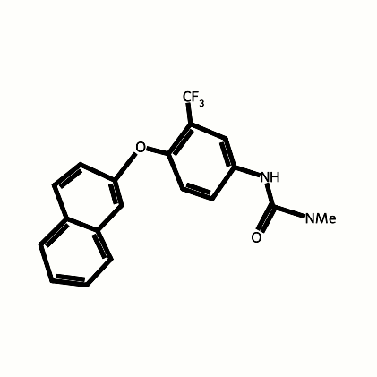 CNC(=O)Nc1ccc(Oc2ccc3ccccc3c2)c(C(F)(F)F)c1